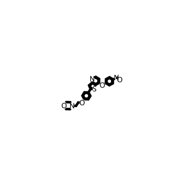 O=Nc1ccc(Oc2ccnc3cc(-c4ccc(OCCN5CCOCC5)cc4)sc23)cc1